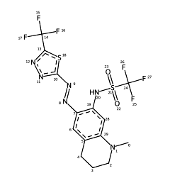 CN1CCCc2cc(/N=N/c3nnc(C(F)(F)F)s3)c(NS(=O)(=O)C(F)(F)F)cc21